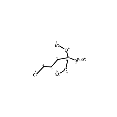 CCCCC[Si](CCCCl)(OCC)OCC